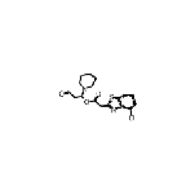 O=CCC(OC(=O)Cc1nc2c(Cl)cccc2s1)N1CCCCC1